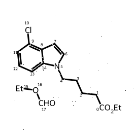 CCOC(=O)CCCCn1ccc2c(Cl)cccc21.CCOC=O